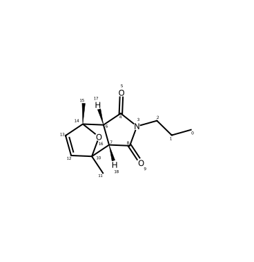 CCCN1C(=O)[C@@H]2[C@H](C1=O)C1(C)C=C[C@@]2(C)O1